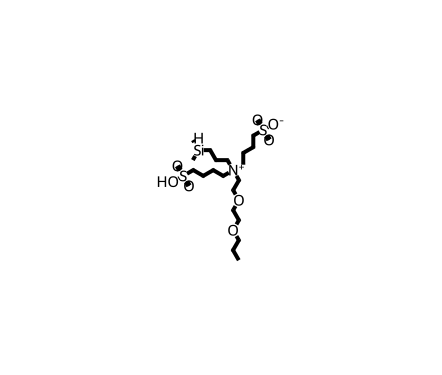 CCCOCCOCC[N+](CCCCS(=O)(=O)[O-])(CCCCS(=O)(=O)O)CCC[SiH](C)C